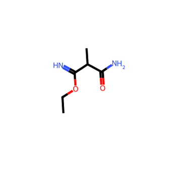 CCOC(=N)C(C)C(N)=O